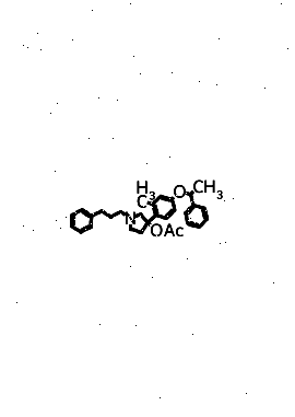 CC(=O)OC1(c2ccc(OC(C)c3ccccc3)cc2C)CCN(CCCc2ccccc2)C1